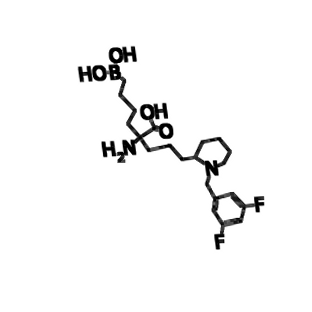 NC(CCCCB(O)O)(CCCC1CCCCN1Cc1cc(F)cc(F)c1)C(=O)O